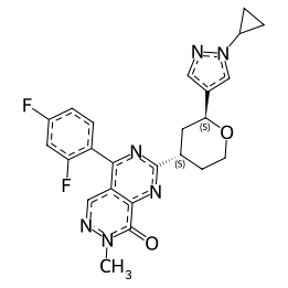 Cn1ncc2c(-c3ccc(F)cc3F)nc([C@H]3CCO[C@H](c4cnn(C5CC5)c4)C3)nc2c1=O